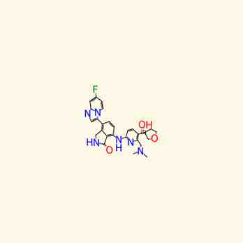 CN(C)Cc1nc(Nc2ccc(-c3cnc4cc(F)ccn34)c3c2C(=O)NC3)ccc1[C@@]1(O)CCOC1